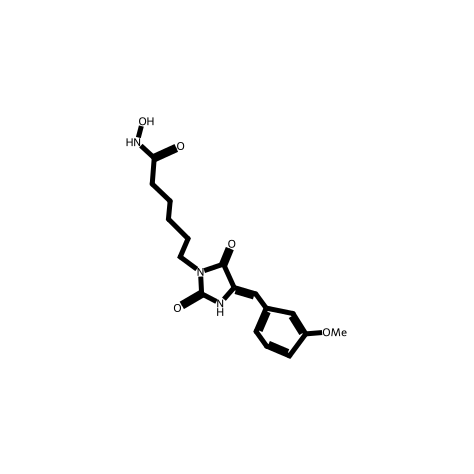 COc1cccc(/C=C2\NC(=O)N(CCCCCC(=O)NO)C2=O)c1